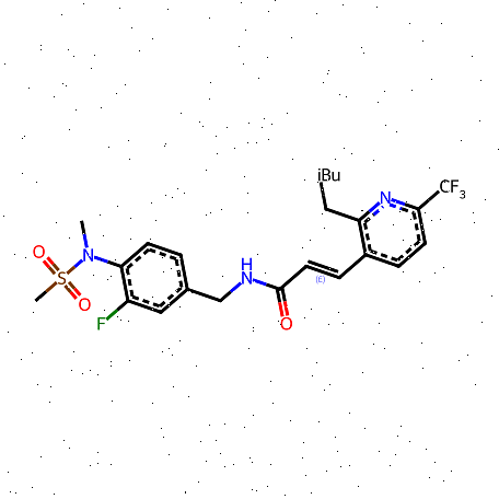 CCC(C)Cc1nc(C(F)(F)F)ccc1/C=C/C(=O)NCc1ccc(N(C)S(C)(=O)=O)c(F)c1